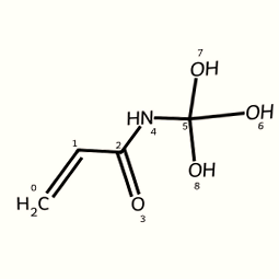 C=CC(=O)NC(O)(O)O